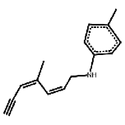 C#C/C=C(C)\C=C/CNc1ccc(C)cc1